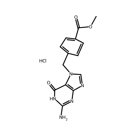 COC(=O)c1ccc(Cn2cnc3nc(N)[nH]c(=O)c32)cc1.Cl